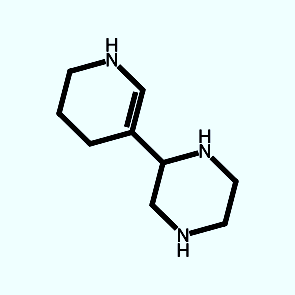 C1=C(C2CNCCN2)CCCN1